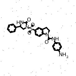 Nc1ccc(NC(=O)N2CCc3cc(S(=O)(=O)N4CC(c5ccccc5)NC4=O)ccc32)cc1